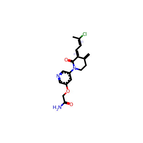 C=C1CCN(c2cncc(OCC(N)=O)c2)C(=O)/C1=C/C=C(\C)Cl